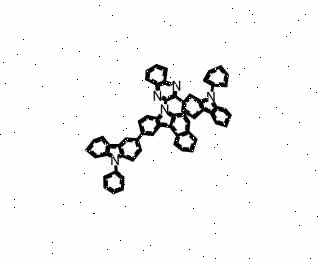 c1ccc(-n2c3ccccc3c3cc(-c4ccc5c(c4)c4c6ccccc6ccc4n5-c4nc5ccccc5nc4-c4ccc5c6ccccc6n(-c6ccccc6)c5c4)ccc32)cc1